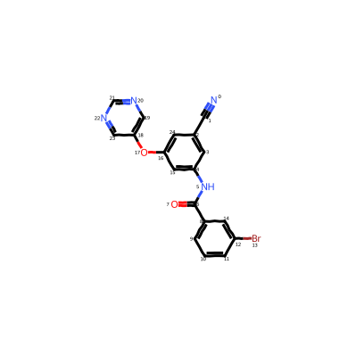 N#Cc1cc(NC(=O)c2cccc(Br)c2)cc(Oc2cncnc2)c1